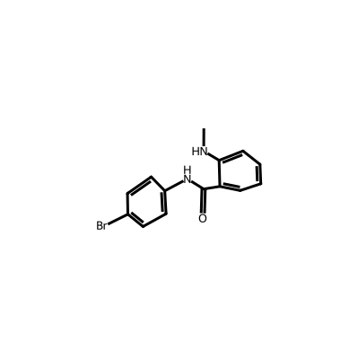 CNc1ccccc1C(=O)Nc1ccc(Br)cc1